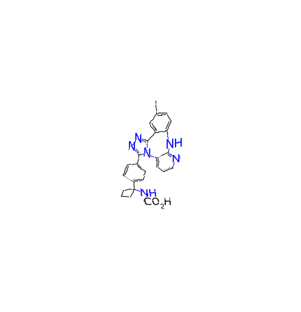 Cc1ccc2c(c1)-c1nnc(-c3ccc(C4(NC(=O)O)CCC4)cc3)n1-c1cccnc1N2